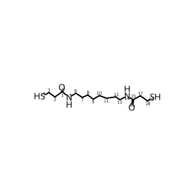 O=C(CCS)NCCCCCCCCNC(=O)CCS